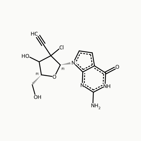 C#CC1(Cl)C(O)[C@@H](CO)O[C@H]1n1ccc2c(=O)[nH]c(N)nc21